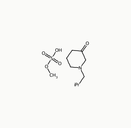 CC(C)CN1CCCC(=O)C1.COS(=O)(=O)O